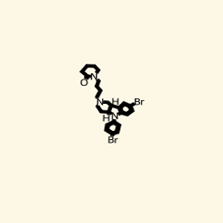 O=C1CCCCN1CCCCN1CC[C@@H]2[C@@H](C1)c1cc(Br)ccc1N2c1ccc(Br)cc1